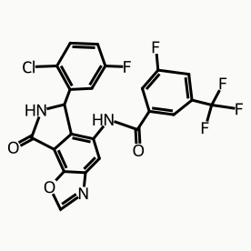 O=C(Nc1cc2ncoc2c2c1C(c1cc(F)ccc1Cl)NC2=O)c1cc(F)cc(C(F)(F)F)c1